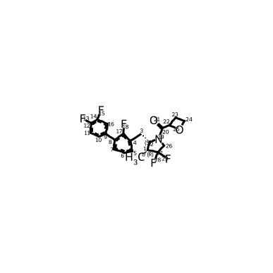 C[C@@H]1[C@H](Cc2cccc(-c3ccc(F)c(F)c3)c2F)N(C(=O)C2CCO2)CC1(F)F